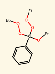 CCOO[Si](OCC)(OOCC)c1ccccc1